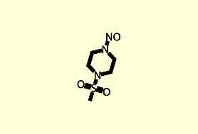 CS(=O)(=O)N1CCN(N=O)CC1